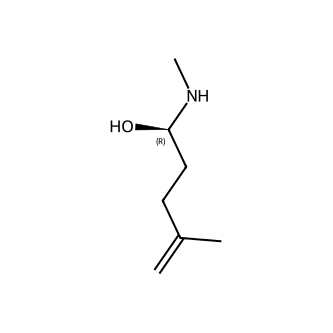 C=C(C)CC[C@@H](O)NC